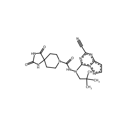 CC(C)(C)CN(NC(=O)N1CCC2(CC1)NC(=O)NC2=O)c1nc(C#N)nc2ccnn12